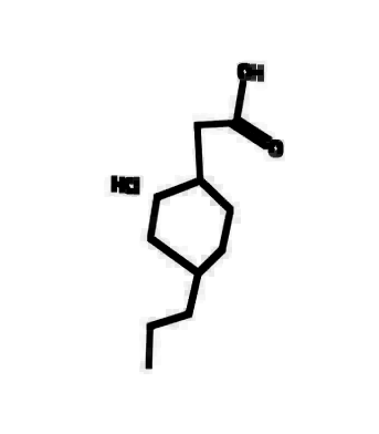 CCCC1CCC(CC(=O)O)CC1.Cl